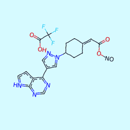 O=C(O)C(F)(F)F.O=NOC(=O)C=C1CCC(n2cc(-c3ncnc4[nH]ccc34)cn2)CC1